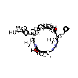 CO[C@@H]1C[C@H](C[C@@H](C)[C@@H]2CC(=O)[C@H](C)/C=C3\CO[C@@H](C(=O)[C@H](C)CC/C=C/C=C/C=C(\C)C(OCCc4ccccc4)C[C@@H]4CC[C@@H](C)[C@@](O)(O4)C(=O)C(=O)N4CCCC[C@H]4C(=O)O2)[C@@H]3O)CC[C@H]1OCCO